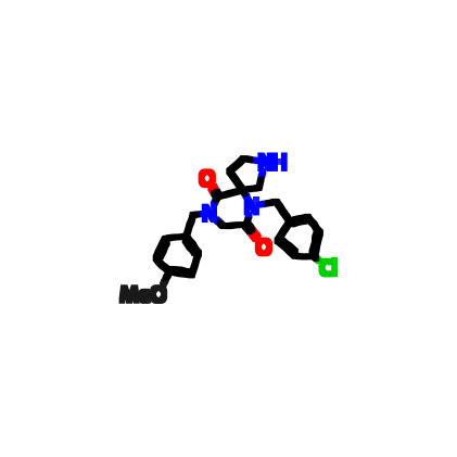 COc1ccc(CN2CC(=O)N(Cc3ccc(Cl)cc3)C3(CCNC3)C2=O)cc1